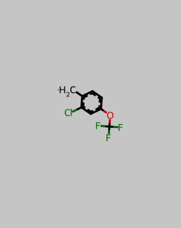 [CH2]c1ccc(OC(F)(F)F)cc1Cl